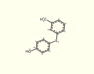 Cc1cccc(Sc2ccc(O)cc2)n1